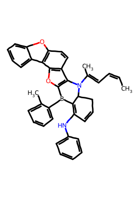 C/C=C\C=C(/C)N1c2c(oc3c2ccc2oc4ccccc4c23)B(c2ccccc2C)C2=C(Nc3ccccc3)C=CCC21